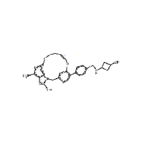 Nc1nc2nc3c1nc(O)n3Cc1ccc(-c3ccc(CNC4CC(O)C4)cc3)c(c1)O/C=C\CCO2